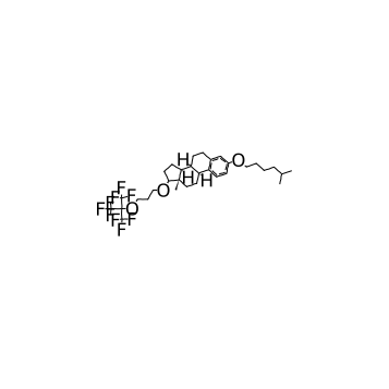 CC(C)CCCCOc1ccc2c(c1)CC[C@@H]1[C@@H]2CC[C@]2(C)[C@@H](OCCCOC(C(F)(F)F)(C(F)(F)F)C(F)(F)F)CC[C@@H]12